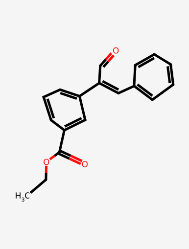 CCOC(=O)c1cccc(C(C=O)=Cc2ccccc2)c1